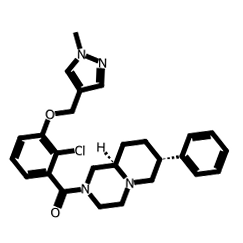 Cn1cc(COc2cccc(C(=O)N3CCN4C[C@@H](c5ccccc5)CC[C@@H]4C3)c2Cl)cn1